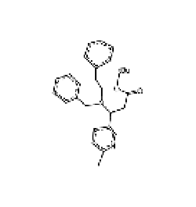 Cc1ccc(C(CC(=O)OC(C)(C)C)N(CCc2ccccc2)Cc2ccccc2)cn1